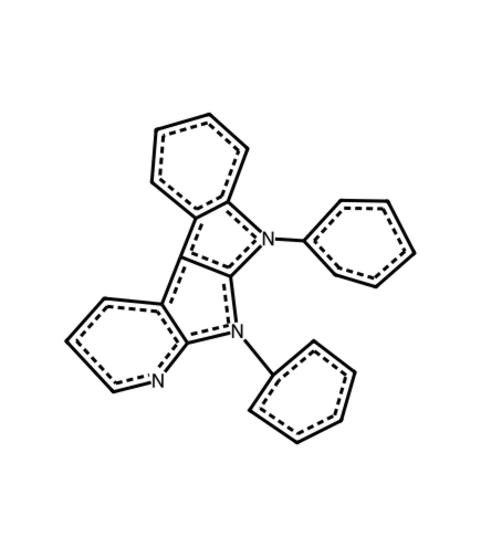 c1ccc(-n2c3ccccc3c3c4cccnc4n(-c4ccccc4)c32)cc1